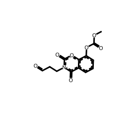 COC(=O)Oc1cccc2c(=O)n(CCC=O)c(=O)oc12